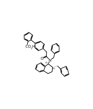 O=C(O)c1ccccc1-c1ccc(CC(=O)N(Cc2ccccc2)[C@@H]2c3ccccc3CC[C@H]2Cc2ccccc2)cc1